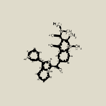 Cc1c(C(=O)N(C)C)c(=O)c2cc(C(=O)c3nc(-c4cccnc4)c4ccccn34)ccc2n1C